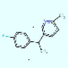 CC(c1ccc(F)cc1)c1ccc(C(F)(F)F)nc1